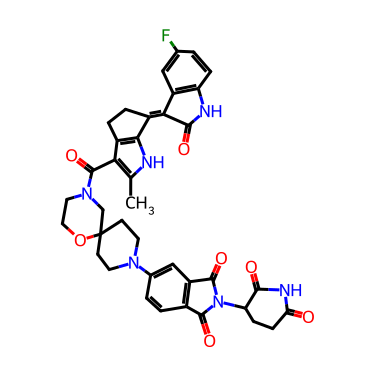 Cc1[nH]c2c(c1C(=O)N1CCOC3(CCN(c4ccc5c(c4)C(=O)N(C4CCC(=O)NC4=O)C5=O)CC3)C1)CCC2=C1C(=O)Nc2ccc(F)cc21